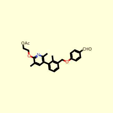 CC(=O)OCCOc1nc(C)c(-c2cccc(COc3ccc(C=O)cc3)c2C)cc1C